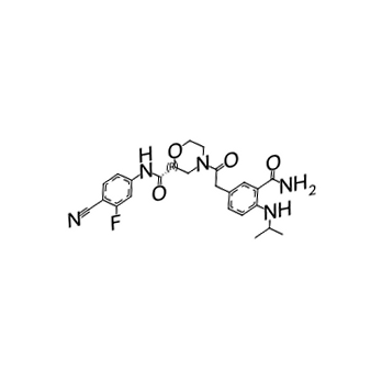 CC(C)Nc1ccc(CC(=O)N2CCO[C@@H](C(=O)Nc3ccc(C#N)c(F)c3)C2)cc1C(N)=O